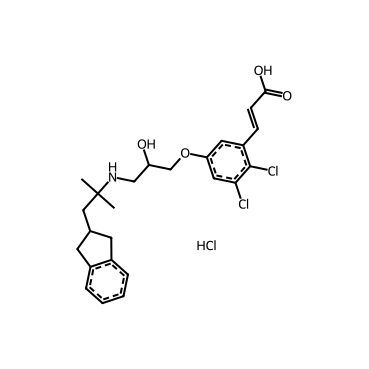 CC(C)(CC1Cc2ccccc2C1)NCC(O)COc1cc(Cl)c(Cl)c(C=CC(=O)O)c1.Cl